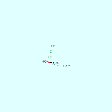 [Ca+2].[Cl-].[Cl-].[Cl-].[Cl-].[OH][Al+2]